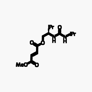 COC(=O)/C=C/C(=O)OC[C@@H](NC(=O)NC(C)C)C(C)C